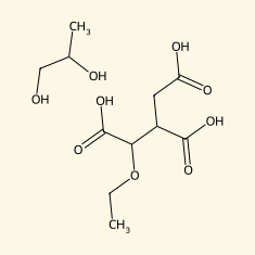 CC(O)CO.CCOC(C(=O)O)C(CC(=O)O)C(=O)O